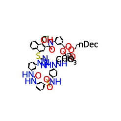 CCCCCCCCCCCCOC(=O)C(C)OC(=O)c1cccc(N(Cl)C(=O)c2cc(Sc3nnnn3-c3cccc(NC(=O)Nc4cccc(S(=O)(=O)Nc5ccc(NNC=O)cc5)c4)c3)c3ccccc3c2O)c1